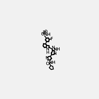 CS(=O)(=O)NCc1cc(F)cc(-c2cccc3[nH]c(-c4n[nH]c5ncc(-c6cncc(NC(=O)C7CCCC7)c6)cc45)cc23)c1